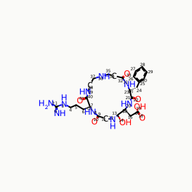 N=C(N)NCCC[C@@H]1NC(=O)CNC(O)[C@H](CC(=O)O)NC(=O)[C@@H](Cc2ccccc2)NC(=O)CCNCCNC1=O